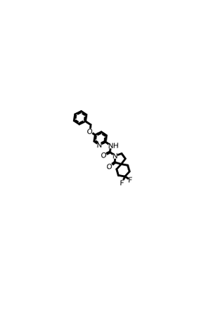 O=C(Nc1ccc(OCc2ccccc2)cn1)N1CCC2(CCC(F)(F)CC2)C1=O